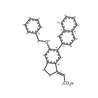 O=C(O)/C=C1\CCc2cc(OCc3ccccc3)c(-c3ccc4ccccc4c3)cc21